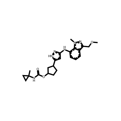 COCc1nn(C)c2c(Nc3cc(C4CCC(OC(=O)NC5(C)CC5)C4)[nH]n3)cccc12